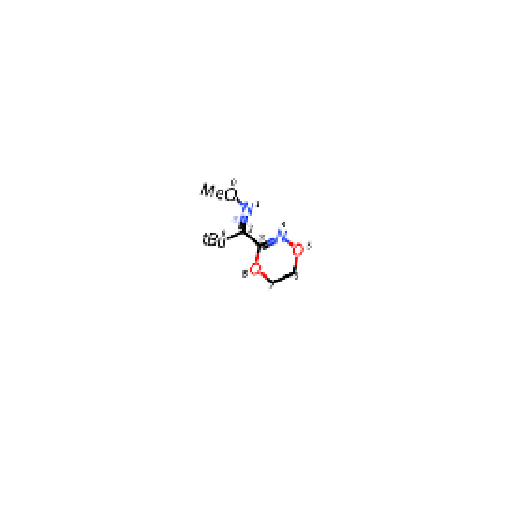 CO/N=C(/C1=NOCCO1)C(C)(C)C